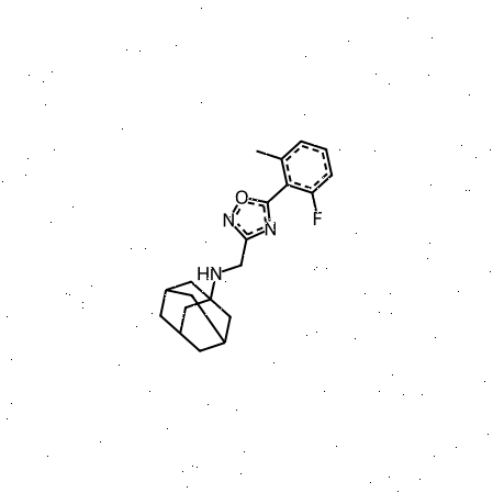 Cc1cccc(F)c1-c1nc(CNC23CC4CC(CC(C4)C2)C3)no1